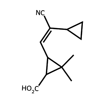 CC1(C)C(/C=C(/C#N)C2CC2)C1C(=O)O